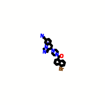 N#Cc1ccc(CC(c2cnc[nH]2)N2CCN(C(=O)c3cccc4c(Br)cccc34)CC2)cc1